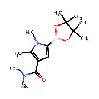 CCCCN(CCCC)C(=O)c1cc(B2OC(C)(C)C(C)(C)O2)n(C)c1C